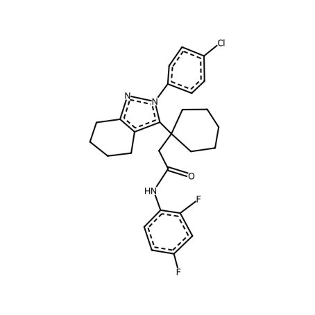 O=C(CC1(c2c3c(nn2-c2ccc(Cl)cc2)CCCC3)CCCCC1)Nc1ccc(F)cc1F